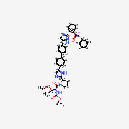 COC(=O)N[C@H](C(=O)N1CCCC1c1ncc(-c2ccc(-c3ccc(-c4cnc([C@@H]5C6CCC(C6)[C@H]5C(=O)Nc5ccccc5)[nH]4)cc3)cc2)[nH]1)[C@@H](C)OC